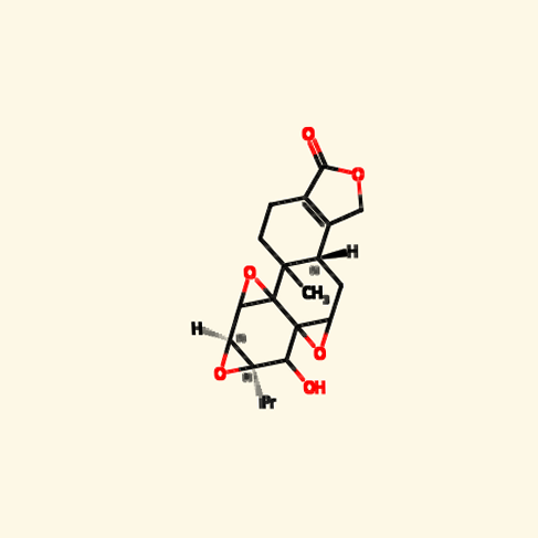 CC(C)[C@]12O[C@H]1C1OC13C1(OC1C[C@H]1C4=C(CCC13C)C(=O)OC4)C2O